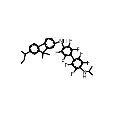 CCC(C)c1ccc2c(c1)C(C)(C)c1cc(Nc3c(F)c(F)c(-c4c(F)c(F)c(NC(C)C)c(F)c4F)c(F)c3F)ccc1-2